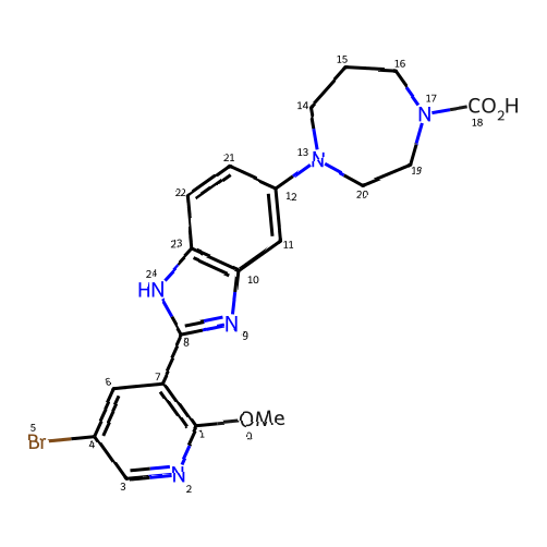 COc1ncc(Br)cc1-c1nc2cc(N3CCCN(C(=O)O)CC3)ccc2[nH]1